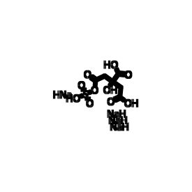 O=C(O)CC(O)(CC(=O)OS(=O)(=O)O)C(=O)O.[NaH].[NaH].[NaH].[NaH]